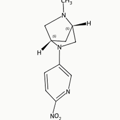 CN1C[C@@H]2C[C@H]1CN2c1ccc([N+](=O)[O-])nc1